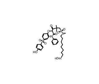 CCCCCCCCCCCCCCCCCCN(C)S(=O)(=O)CC(C)(C)C(=O)C(Oc1ccc(S(=O)(=O)c2ccc(O)cc2)cc1)C(=O)Nc1ccccc1